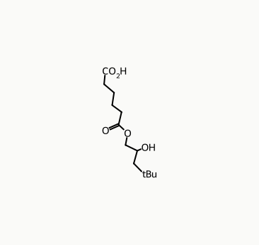 CC(C)(C)CC(O)COC(=O)CCCCC(=O)O